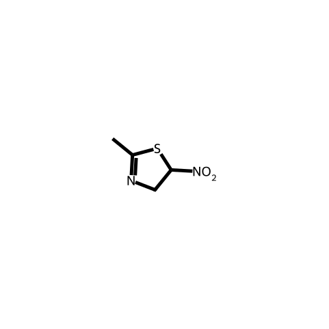 CC1=NCC([N+](=O)[O-])S1